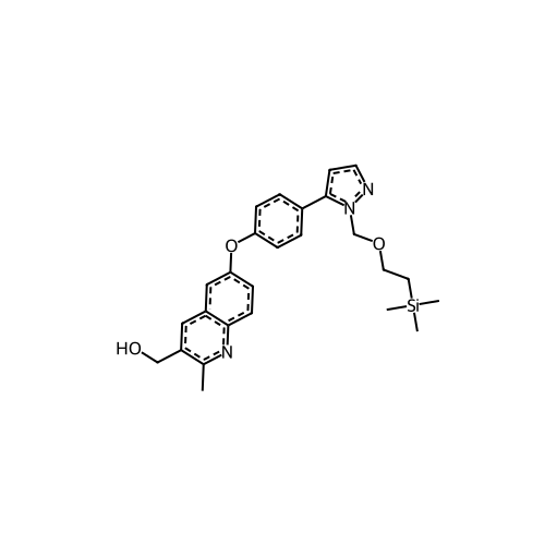 Cc1nc2ccc(Oc3ccc(-c4ccnn4COCC[Si](C)(C)C)cc3)cc2cc1CO